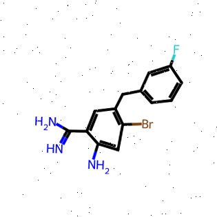 N=C(N)c1cc(Cc2cccc(F)c2)c(Br)cc1N